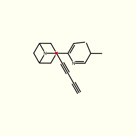 C#CC#CCN1C2CC1CN(C(=C/C)/N=C\C(C)C)C2